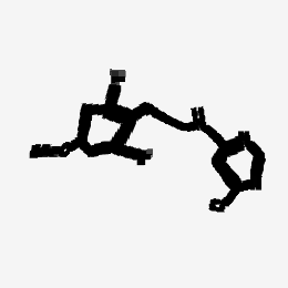 COc1cc(F)c(CCNc2cc(Cl)ncn2)c(F)c1